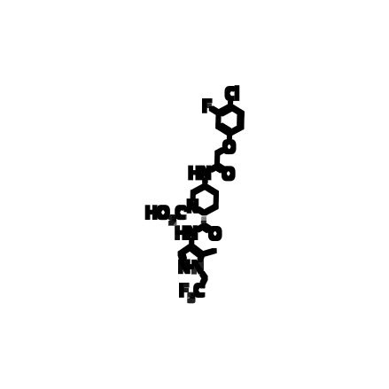 Cc1c(NC(=O)[C@H]2CC[C@H](NC(=O)COc3ccc(Cl)c(F)c3)CN2C(=O)O)cnn1CC(F)(F)F